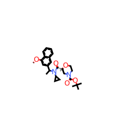 COc1cc(C(C)N(C(=O)[C@H]2CN(C(=O)OC(C)(C)C)CCO2)C2CC2)cc2ccccc12